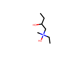 CCC(O)C[N+](C)(O)CC